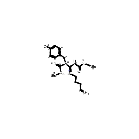 C=CCCC/N=C(\NC(=O)OC(C)(C)C)N(Cc1ccc(Cl)cc1)C(=O)OC(C)(C)C